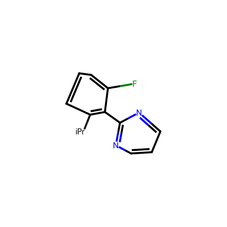 CC(C)c1cccc(F)c1-c1ncccn1